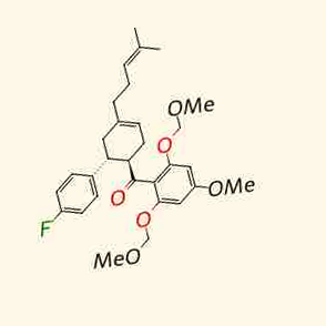 COCOc1cc(OC)cc(OCOC)c1C(=O)[C@@H]1CC=C(CCC=C(C)C)C[C@H]1c1ccc(F)cc1